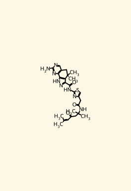 CC(C)=CC(=O)CC(C)(C)NC(=O)Cc1csc(NC(=O)c2n[nH]c3c2C(C)(C)Cc2cnc(N)nc2-3)n1